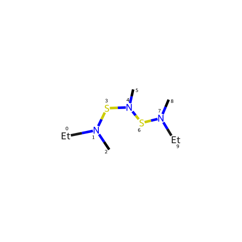 CCN(C)SN(C)SN(C)CC